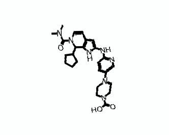 CN(C)C(=O)N1C=Cc2cc(Nc3ccc(N4CCN(C(=O)O)CC4)cn3)[nH]c2C1C1CCCC1